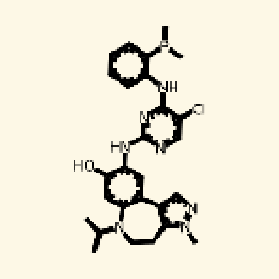 CC(C)N1CCc2c(cnn2C)-c2cc(Nc3ncc(Cl)c(Nc4ccccc4P(C)C)n3)c(O)cc21